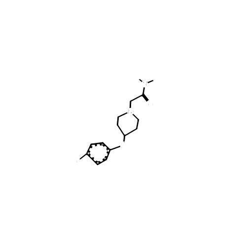 CN(C)C(=O)CN1CCC(Oc2ccc(Br)cc2)CC1